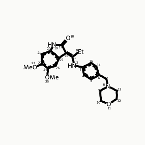 CCC(Nc1ccc(CN2CCOCC2)cc1)=C1C(=O)Nc2cc(OC)c(OC)cc21